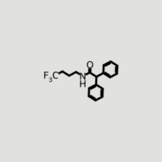 O=C(NCCCC(F)(F)F)C(c1ccccc1)c1ccccc1